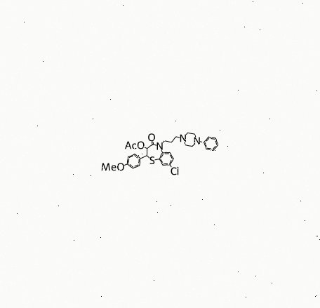 COc1ccc(C2Sc3cc(Cl)ccc3N(CCCN3CCN(c4ccccc4)CC3)C(=O)C2OC(C)=O)cc1